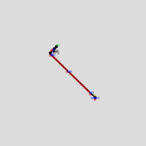 CC(C)[C@@H](NC(=O)c1cccc(C(=O)NCCOCCOCCOCCOCCOCCOCCOCCOCCC(=O)NCCOCCOCCOCCOCCOCCOCCOCCOCCOCCOCCOCCNC(=O)CCCC[C@@H]2SCC3NC(=O)NC32)c1)C(=O)N1CCC(c2ccc(Cl)cc2)CC1